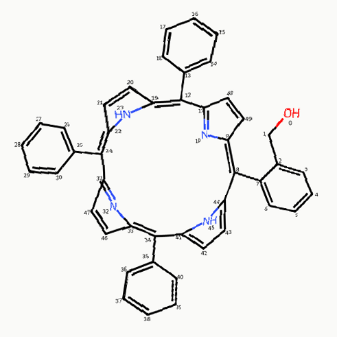 OCc1ccccc1-c1c2nc(c(-c3ccccc3)c3ccc([nH]3)c(-c3ccccc3)c3nc(c(-c4ccccc4)c4ccc1[nH]4)C=C3)C=C2